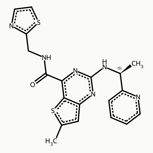 Cc1cc2nc(N[C@@H](C)c3ccccn3)nc(C(=O)NCc3nccs3)c2s1